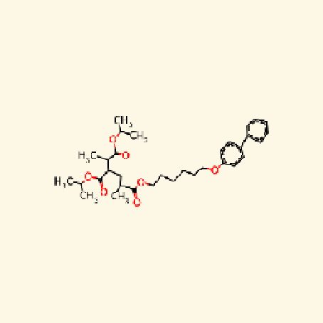 CC(C)OC(=O)C(C)C(CC(C)C(=O)OCCCCCCOc1ccc(-c2ccccc2)cc1)C(=O)OC(C)C